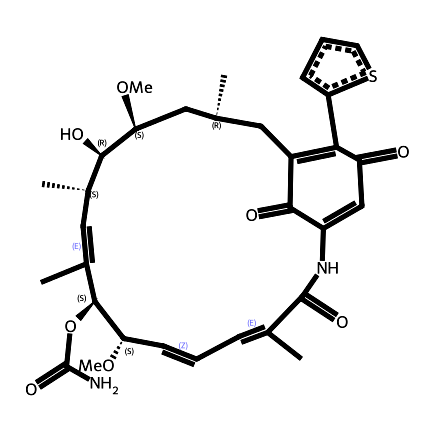 CO[C@H]1/C=C\C=C(/C)C(=O)NC2=CC(=O)C(c3cccs3)=C(C[C@@H](C)C[C@H](OC)[C@H](O)[C@@H](C)/C=C(\C)[C@@H]1OC(N)=O)C2=O